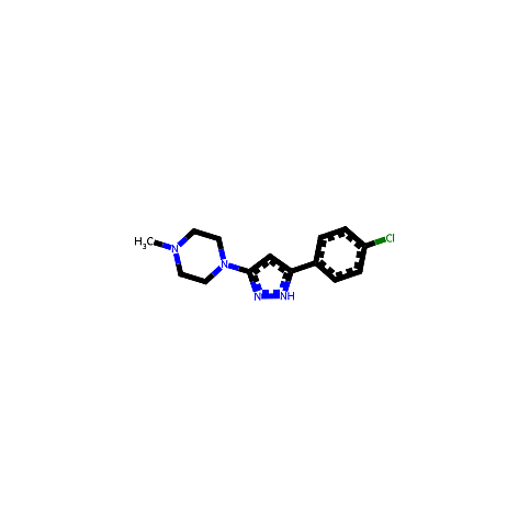 CN1CCN(c2cc(-c3ccc(Cl)cc3)[nH]n2)CC1